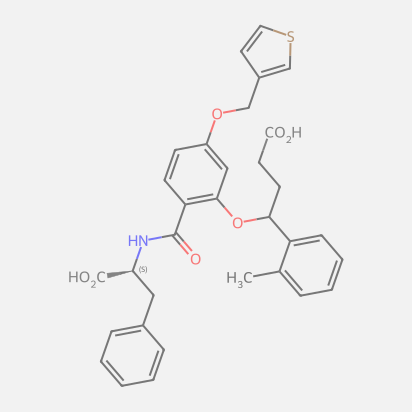 Cc1ccccc1C(CCC(=O)O)Oc1cc(OCc2ccsc2)ccc1C(=O)N[C@@H](Cc1ccccc1)C(=O)O